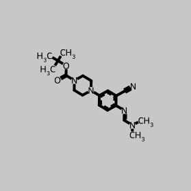 CN(C)/C=N/c1ccc(N2CCN(C(=O)OC(C)(C)C)CC2)cc1C#N